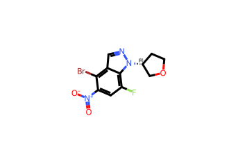 O=[N+]([O-])c1cc(F)c2c(cnn2[C@@H]2CCOC2)c1Br